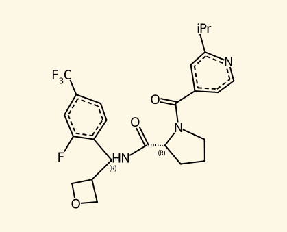 CC(C)c1cc(C(=O)N2CCC[C@@H]2C(=O)N[C@@H](c2ccc(C(F)(F)F)cc2F)C2COC2)ccn1